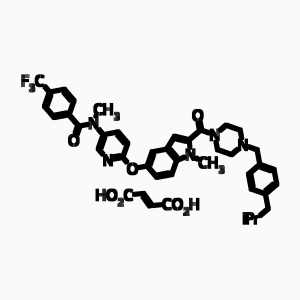 CC(C)Cc1ccc(CN2CCN(C(=O)c3cc4cc(Oc5ccc(N(C)C(=O)c6ccc(C(F)(F)F)cc6)cn5)ccc4n3C)CC2)cc1.O=C(O)C=CC(=O)O